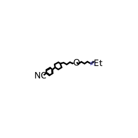 CC/C=C/CCCCOCCCCC1CCC(c2ccc(C#N)cc2)CC1